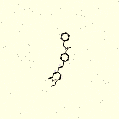 C=C/C=C(\C=C/NCC)/C=C/c1ccc(N(C)Cc2ccccc2)cc1